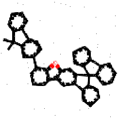 CC1(C)c2ccccc2-c2ccc(-c3cccc4c3oc3cc5c(cc34)-c3ccccc3C53c4ccccc4-c4ccccc43)cc21